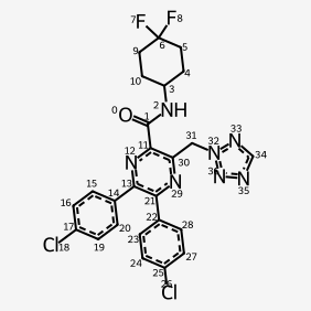 O=C(NC1CCC(F)(F)CC1)c1nc(-c2ccc(Cl)cc2)c(-c2ccc(Cl)cc2)nc1Cn1ncnn1